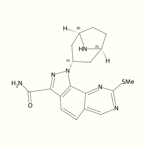 CSc1ncc2ccc3c(C(N)=O)nn([C@@H]4C[C@H]5CC[C@@H](C4)N5)c3c2n1